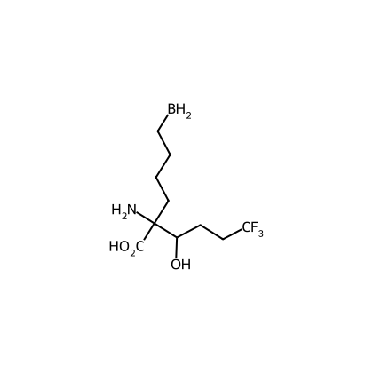 BCCCCC(N)(C(=O)O)C(O)CCC(F)(F)F